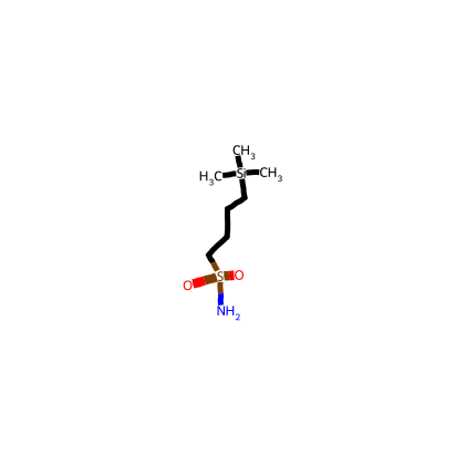 C[Si](C)(C)CCCCS(N)(=O)=O